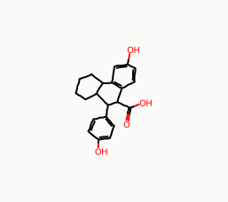 O=C(O)C1c2ccc(O)cc2C2CCCCC2C1c1ccc(O)cc1